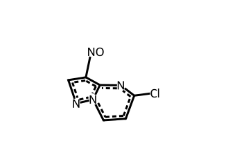 O=Nc1cnn2ccc(Cl)nc12